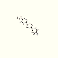 CC1CCC(C2CCC(c3ccc(F)cc3)CC2)CC1